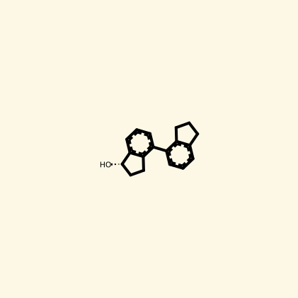 O[C@H]1CCc2c(-c3cccc4c3CCC4)cccc21